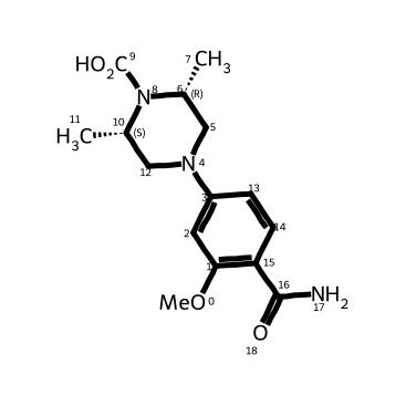 COc1cc(N2C[C@@H](C)N(C(=O)O)[C@@H](C)C2)ccc1C(N)=O